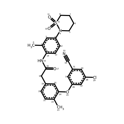 Cc1cc(N2CCCCS2(=O)=O)ccc1NC(=O)Cc1ccc(C)c(Oc2cc(Cl)cc(C#N)c2)c1